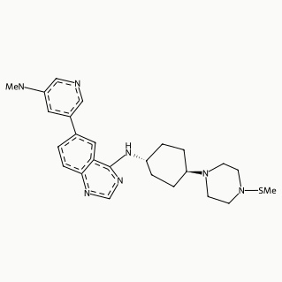 CNc1cncc(-c2ccc3ncnc(N[C@H]4CC[C@H](N5CCN(SC)CC5)CC4)c3c2)c1